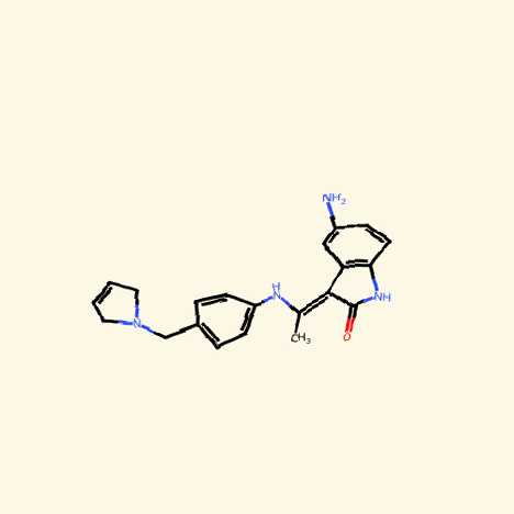 CC(Nc1ccc(CN2CC=CC2)cc1)=C1C(=O)Nc2ccc(N)cc21